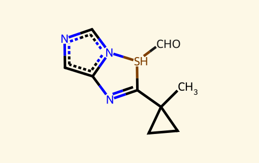 CC1(C2=Nc3cncn3[SH]2C=O)CC1